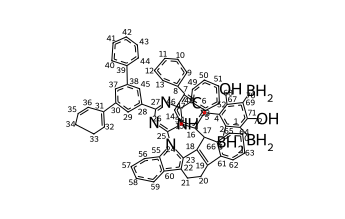 Bc1c(B)c(-c2cc(-c3ccccc3)ccc2C2C3=C(CCc4c3n(C3=NC(c5cc(C6=CCCC=C6)cc(-c6ccccc6)c5)=NC(c5ccccc5)N3)c3ccccc43)c3ccccc32)c(O)c(B)c1O